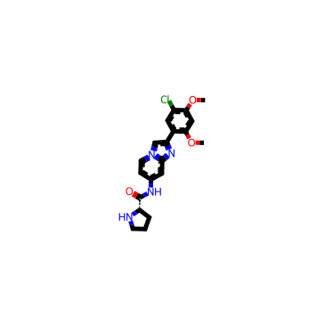 COc1cc(OC)c(-c2cn3ccc(NC(=O)[C@@H]4CCCN4)cc3n2)cc1Cl